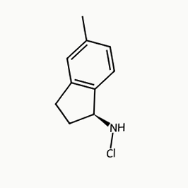 Cc1ccc2c(c1)CC[C@@H]2NCl